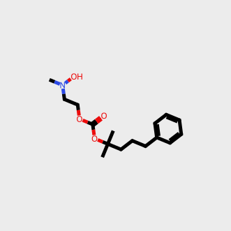 CN(O)CCOC(=O)OC(C)(C)CCCc1ccccc1